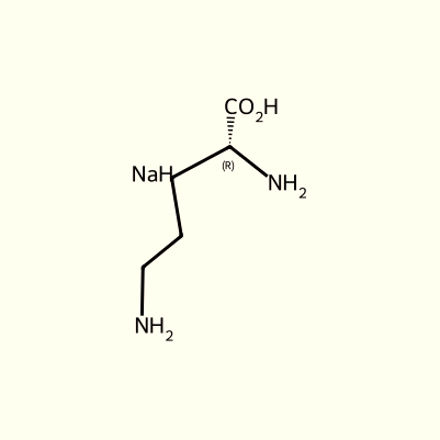 NCCC[C@@H](N)C(=O)O.[NaH]